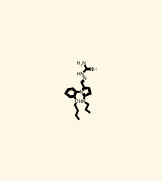 CCCCOc1ccccc1-n1c(C=NNC(=N)N)ccc1NCCC